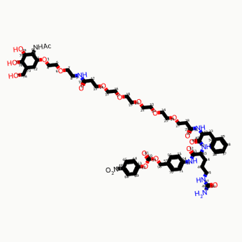 CC(=O)NC1C(OCCOCCNC(=O)CCOCCOCCOCCOCCOCCC(=O)NC(Cc2ccccc2)C(=O)NC(CCCNC(N)=O)C(=O)Nc2ccc(COC(=O)Oc3ccc([N+](=O)[O-])cc3)cc2)CC(CO)C(O)C1O